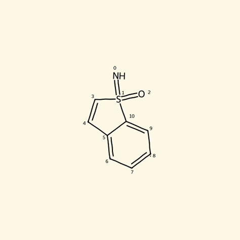 N=S1(=O)C=Cc2cc[c]cc21